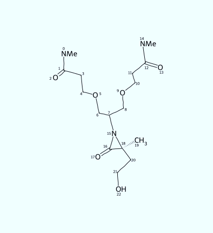 CNC(=O)CCOCC(COCCC(=O)NC)N1C(=O)[C@]1(C)CCO